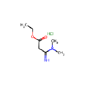 CCOC(=O)CC(=N)N(C)C.Cl